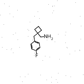 NCC1(Cc2ccc(F)cc2)CCC1